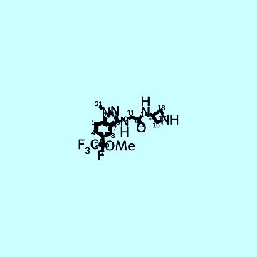 COC(F)(c1ccc2c(c1)c(NCC(=O)NC1CNC1)nn2C)C(F)(F)F